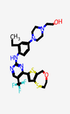 CCc1cc(N2CCN(CCO)CC2)ccc1Nc1ncc(C(F)(F)F)c(-c2cc3c(s2)COCCS3)n1